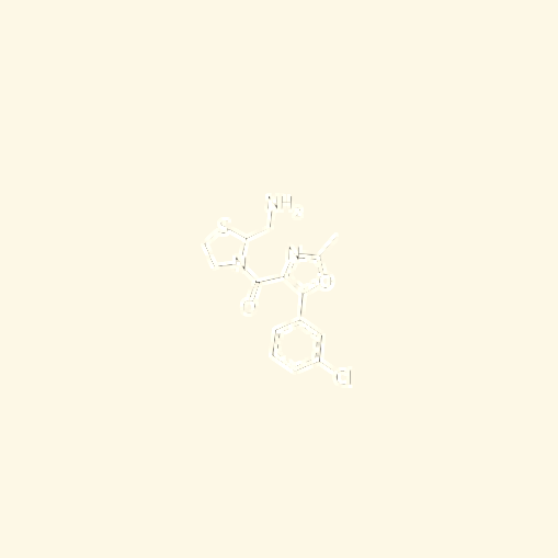 Cc1nc(C(=O)N2CCSC2CN)c(-c2cccc(Cl)c2)o1